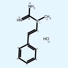 CN(C=Cc1ccccc1)C(=N)N.Cl